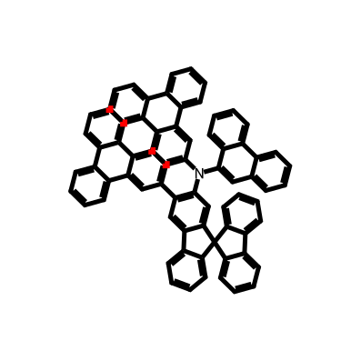 c1ccc2c(c1)-c1ccccc1C21c2ccccc2-c2cc(-c3ccc4c5ccccc5c5ccccc5c4c3)c(N(c3ccc4c5ccccc5c5ccccc5c4c3)c3cc4ccccc4c4ccccc34)cc21